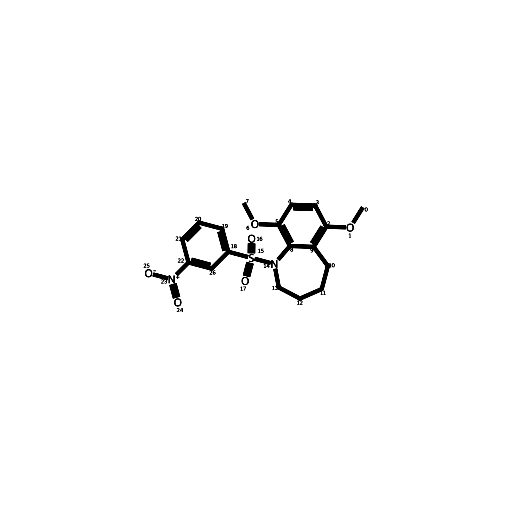 COc1ccc(OC)c2c1CCCCN2S(=O)(=O)c1cccc([N+](=O)[O-])c1